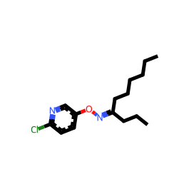 CCCCCCC(CCC)=NOc1ccc(Cl)nc1